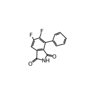 O=C1NC(=O)c2c1cc(F)c(F)c2-c1ccccc1